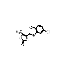 Cc1oc(=O)oc1CSc1cc(Cl)ccc1Cl